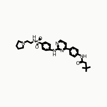 CC(C)(C)CC(=O)Nc1ccc(-c2ccnc(Nc3ccc(S(=O)(=O)NCCN4CCCC4)cc3)n2)cc1